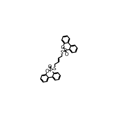 O=P1(SC/C=C/CSP2(=O)Oc3ccccc3-c3ccccc32)Oc2ccccc2-c2ccccc21